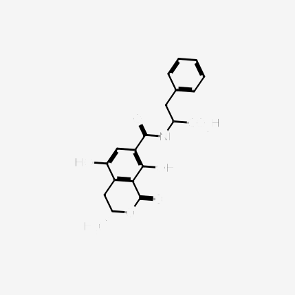 C[C@@H]1Cc2c(O)cc(C(=O)NC(Cc3ccccc3)C(=O)O)c(O)c2C(=O)O1